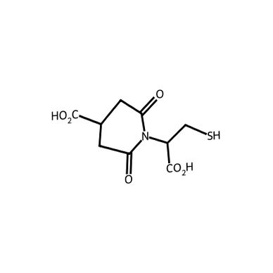 O=C(O)C1CC(=O)N(C(CS)C(=O)O)C(=O)C1